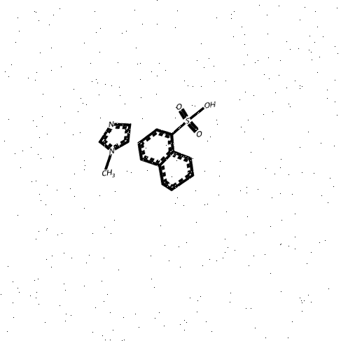 Cn1ccnc1.O=S(=O)(O)c1cccc2ccccc12